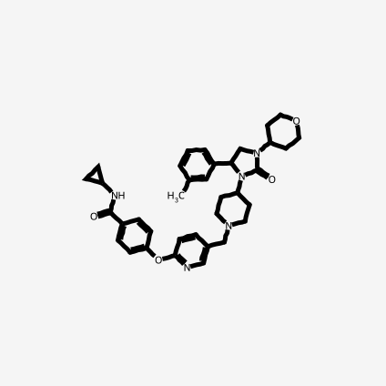 Cc1cccc(C2CN(C3CCOCC3)C(=O)N2C2CCN(Cc3ccc(Oc4ccc(C(=O)NC5CC5)cc4)nc3)CC2)c1